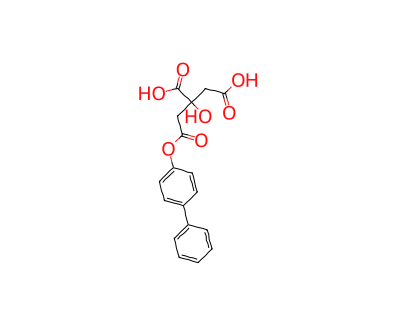 O=C(O)CC(O)(CC(=O)Oc1ccc(-c2ccccc2)cc1)C(=O)O